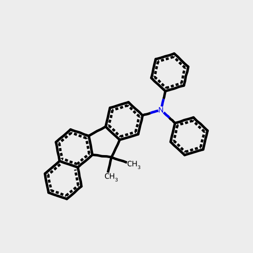 CC1(C)c2cc(N(c3ccccc3)c3ccccc3)ccc2-c2ccc3ccccc3c21